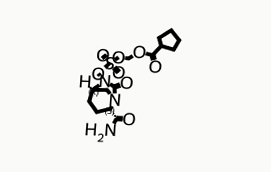 NC(=O)[C@@H]1CC[C@@H]2CN1C(=O)N2OS(=O)(=O)OCOC(=O)C1CCCC1